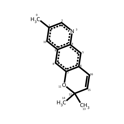 Cc1cnc2cc3c(cc2c1)OC(C)(C)C=C3